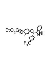 CCOC(=O)COc1ccc(OC(c2ccc(C(F)(F)F)cc2)c2n[nH]c3ccccc23)cc1C